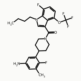 CCCCn1cc(C(=O)N2CCC(c3cc(N)cc(C)c3F)CC2)c2c(OC(F)(F)F)ccc(F)c21